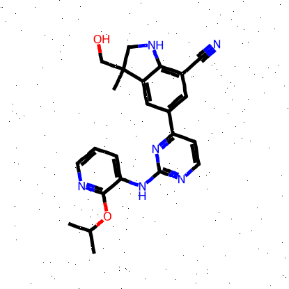 CC(C)Oc1ncccc1Nc1nccc(-c2cc(C#N)c3c(c2)C(C)(CO)CN3)n1